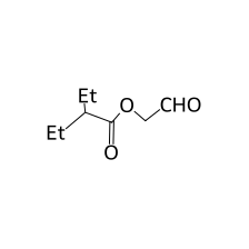 CCC(CC)C(=O)OCC=O